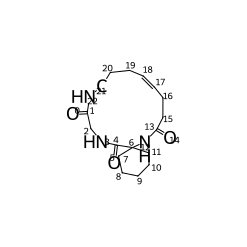 O=C1CNC(=O)C2(CCCCC2)NC(=O)CCC=CCCCN1